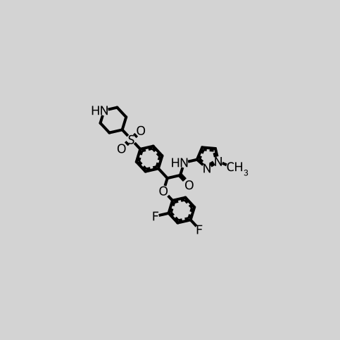 Cn1ccc(NC(=O)C(Oc2ccc(F)cc2F)c2ccc(S(=O)(=O)C3CCNCC3)cc2)n1